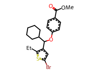 CCc1sc(Br)cc1C(Oc1ccc(C(=O)OC)cc1)C1CCCCC1